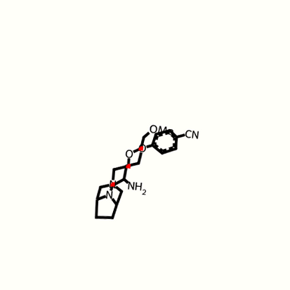 COCCOCCN1CC2CCC(C1)N2CC(N)CCOc1ccc(C#N)cc1